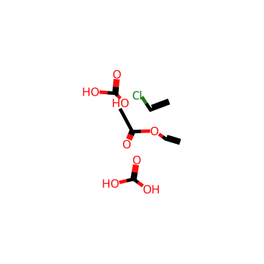 C=CCl.C=COC(C)=O.O=C(O)O.O=C(O)O